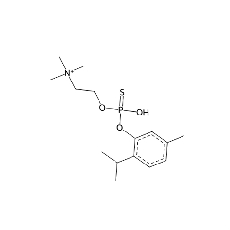 Cc1ccc(C(C)C)c(OP(O)(=S)OCC[N+](C)(C)C)c1